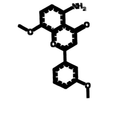 COc1cccc(-c2cc(=O)c3c(N)ccc(OC)c3o2)c1